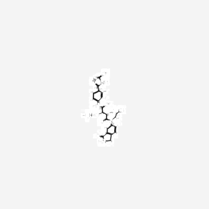 N.O=C1NCc2ccc(N(CCCl)C(=O)[C@H](O)[C@@H](O)C(=O)Nc3ccc(-c4noc(=O)[nH]4)cc3)cc21